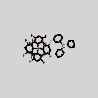 Fc1cc(F)c(F)c([B-](c2c(F)c(F)cc(F)c2F)(c2c(F)c(F)cc(F)c2F)c2c(F)c(F)cc(F)c2F)c1F.c1ccc([C+](c2ccccc2)c2ccccc2)cc1